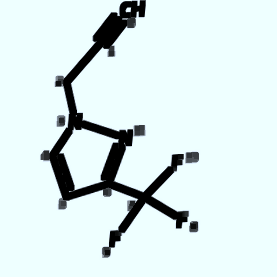 C#CCn1ccc(C(F)(F)F)n1